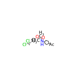 CC(=O)c1ccc(NC(=O)C(C)(C)Oc2ccc(C3CC3(Cl)Cl)cc2)cc1